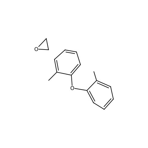 C1CO1.Cc1ccccc1Oc1ccccc1C